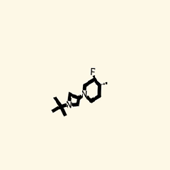 C[C@@H]1CCN(C2CN(C(C)(C)C)C2)C[C@H]1F